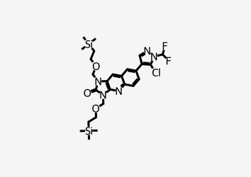 C[Si](C)(C)CCOCn1c(=O)n(COCC[Si](C)(C)C)c2nc3ccc(-c4cnn(C(F)F)c4Cl)cc3cc21